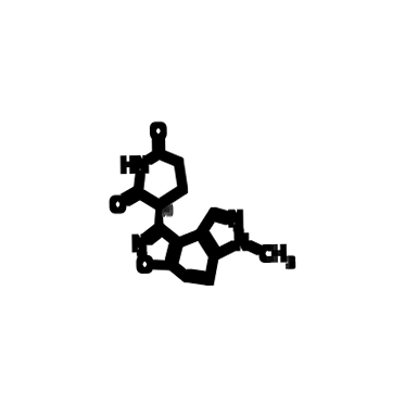 Cn1ncc2c3c([C@@H]4CCC(=O)NC4=O)noc3ccc21